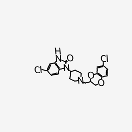 O=c1[nH]c2cc(Cl)ccc2n1C1CCN(CC2COc3ccc(Cl)cc3O2)CC1